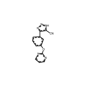 N#Cc1[nH]nnc1-c1cccc(Oc2ncccn2)c1